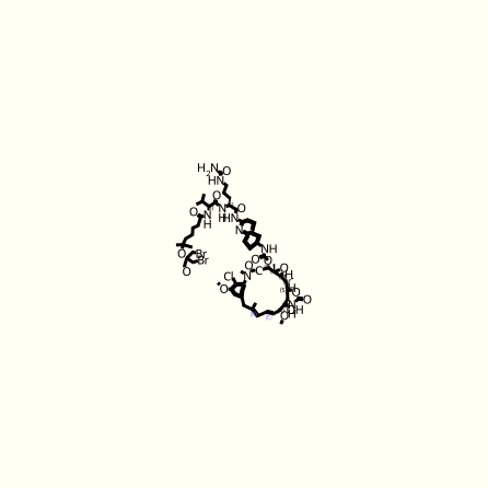 COc1cc2cc(c1Cl)N(C)C(=O)C[C@H](OC(=O)Nc1ccc3nc(NC(=O)[C@H](CCCNC(N)=O)NC(=O)[C@@H](NC(=O)CCCCC(C)(C)OC(C=O)(CBr)CBr)C(C)C)ccc3c1)[C@]1(C)O[C@H]1[C@H](C)[C@@H]1C[C@@](O)(NC(=O)O1)[C@H](OC)/C=C/C=C(\C)C2